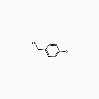 NCc1ccc([O])cc1